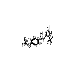 CC(C)(C)c1n[nH]cc1CNc1ccc(OC(F)F)cc1